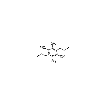 CCCc1c(O)c(O)c(CCC)c(O)c1O